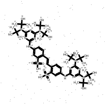 CC(C)(O)N(c1nc(Nc2ccc(C=Cc3ccc(Nc4nc(N(C(C)(C)O)C(C)(C)O)nc(N(C(C)(C)O)C(C)(C)O)n4)cc3S(=O)(=O)O)c(S(=O)(=O)O)c2)nc(N(C(C)(C)O)C(C)(C)O)n1)C(C)(C)O